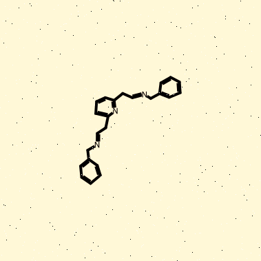 C(Cc1cccc(CC=NCc2ccccc2)n1)=NCc1ccccc1